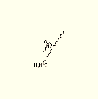 CCCCCCCCCCCCCCCCCC(N)=O.CCCN1CCCC1=O